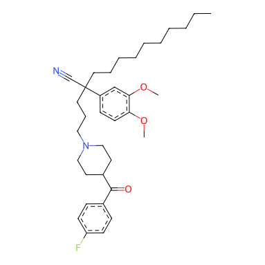 CCCCCCCCCCC(C#N)(CCCN1CCC(C(=O)c2ccc(F)cc2)CC1)c1ccc(OC)c(OC)c1